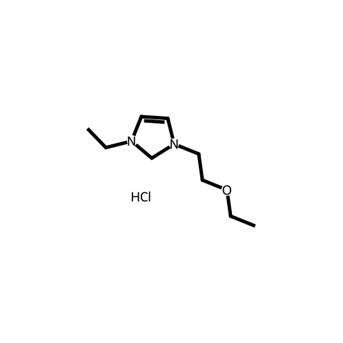 CCOCCN1C=CN(CC)C1.Cl